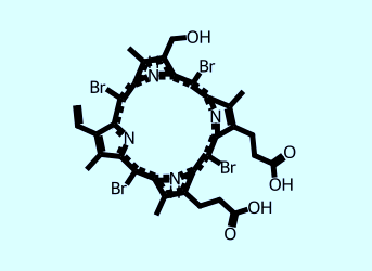 C=CC1=C(C)c2nc1c(Br)c1[nH]c(c(Br)c3nc(c(Br)c4[nH]c(c(C)c4CCC(=O)O)c2Br)C(CCC(=O)O)=C3C)c(CO)c1C